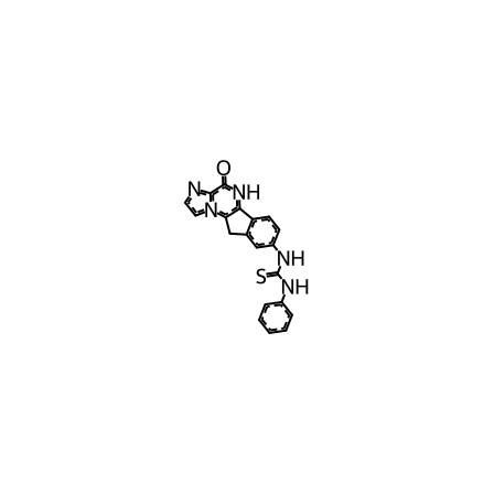 O=c1[nH]c2c(n3ccnc13)Cc1cc(NC(=S)Nc3ccccc3)ccc1-2